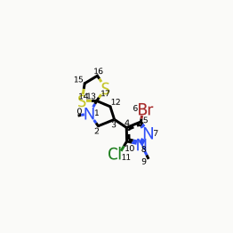 CN1CC(c2c(Br)nn(C)c2Cl)CC12SCCS2